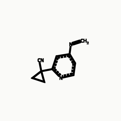 C=Nc1ccnc(C2(C#N)CC2)c1